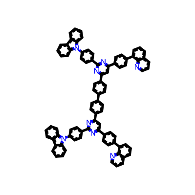 c1cnc2c(-c3ccc(-c4cc(-c5ccc(-c6ccc(-c7cc(-c8ccc(-c9cccc%10cccnc9%10)cc8)nc(-c8ccc(-n9c%10ccccc%10c%10ccccc%109)cc8)n7)cc6)cc5)nc(-c5ccc(-n6c7ccccc7c7ccccc76)cc5)n4)cc3)cccc2c1